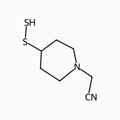 N#CCN1CCC(SS)CC1